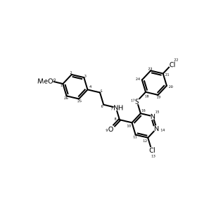 COc1ccc(CCNC(=O)c2cc(Cl)nnc2Sc2ccc(Cl)cc2)cc1